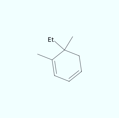 CCC1(C)CC=CC=C1C